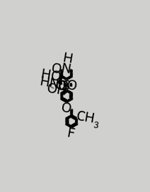 Cc1cc(F)ccc1COc1ccc(S(=O)(=O)C2CCNC(=O)C2(O)C(=O)NO)cc1